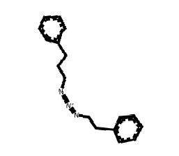 c1ccc(CCCN=[N+]=NCCc2ccccc2)cc1